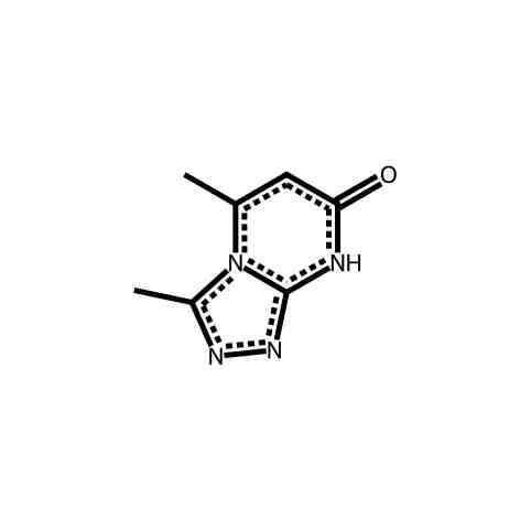 Cc1cc(=O)[nH]c2nnc(C)n12